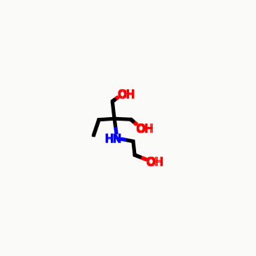 CCC(CO)(CO)NCCO